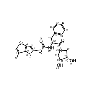 Cc1csc2cc(OC(=O)N[C@@H](Cc3ccccc3)C(=O)N3C[C@@H](O)[C@@H](O)C3)[nH]c12